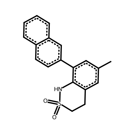 Cc1cc2c(c(-c3ccc4ccccc4c3)c1)NS(=O)(=O)CC2